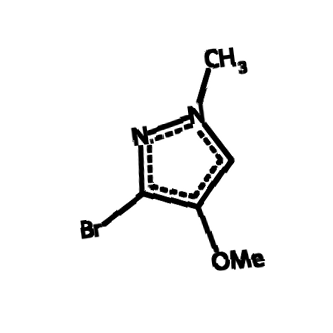 COc1cn(C)nc1Br